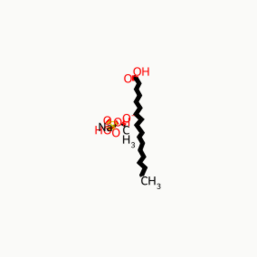 CCCCCCCCCCCCCCCCCC(=O)O.CC[O-].O=S(=O)(O)O.[Na+]